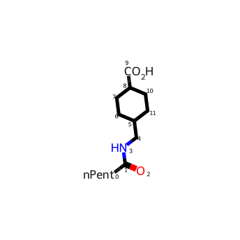 CCCCCC(=O)NCC1CCC(C(=O)O)CC1